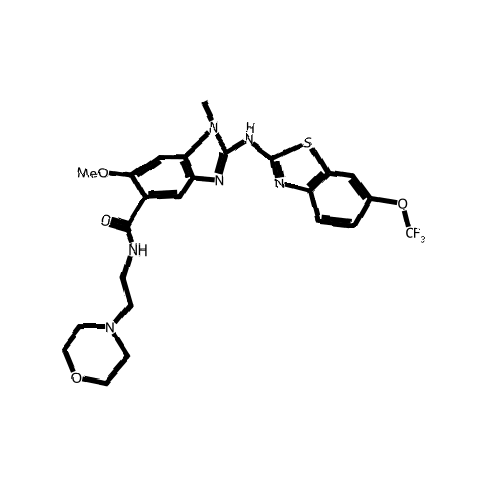 COc1cc2c(cc1C(=O)NCCN1CCOCC1)nc(Nc1nc3ccc(OC(F)(F)F)cc3s1)n2C